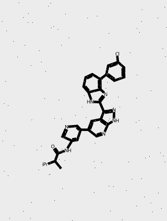 CC(C)C(C)C(=O)Nc1cncc(-c2cnc3[nH]nc(-c4nc5c(-c6cccc(Cl)c6)cccc5[nH]4)c3c2)c1